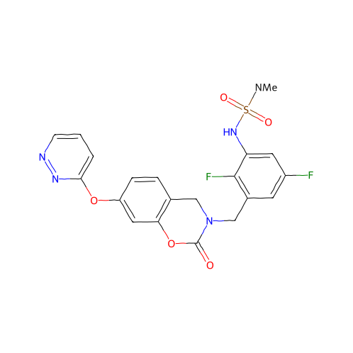 CNS(=O)(=O)Nc1cc(F)cc(CN2Cc3ccc(Oc4cccnn4)cc3OC2=O)c1F